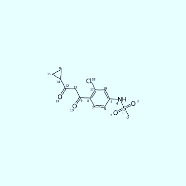 CS(=O)(=O)Nc1ccc(C(=O)CC(=O)C2CC2)c(Cl)c1